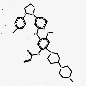 C=CC(=O)Nc1cc(Nc2cc(N3OCC[C@@H]3c3ccc(C)nc3)ncn2)c(OC)cc1N1CCC(N2CCN(C)CC2)CC1